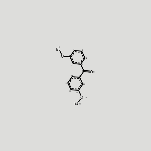 CCOc1cccc(C(=O)c2cccc(OCC)c2)c1